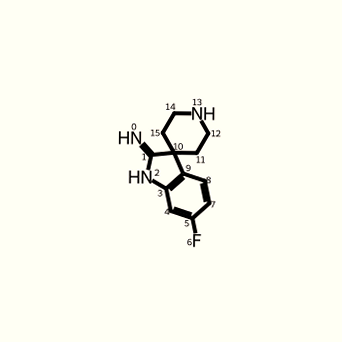 N=C1Nc2cc(F)ccc2C12CCNCC2